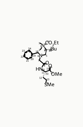 CCOC(=O)[N+](C)(C)[C@H](CN(CC(=O)N[C@@H](CCSC)C(=O)OC)Cc1ccccc1)[C@@H](C)CC